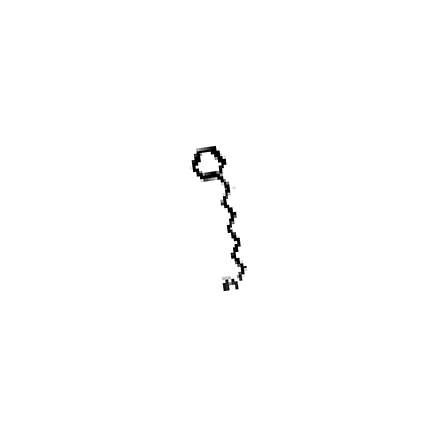 CC(C)CCCCCC[CH]c1ccccc1